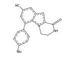 CC(C)(C)c1ccc(-c2cc(C#N)cc3cc4n(c23)CCNC4=O)cc1